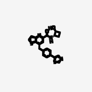 O=C(N[C@H]1CC[C@@H]1O)c1cc(Cc2ccc(-c3cncs3)cc2)c2sccc2n1